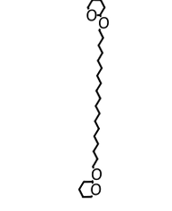 C(CCCCCCCCCOC1CCCCO1)CCCCCCCCCOC1CCCCO1